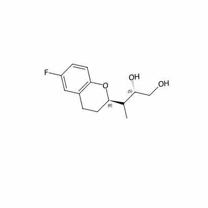 CC([C@H](O)CO)[C@H]1CCc2cc(F)ccc2O1